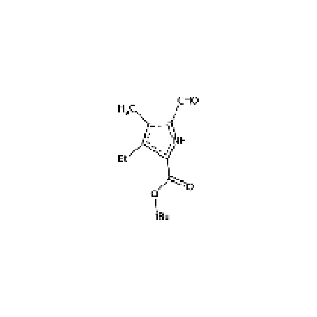 CCc1c(C(=O)OC(C)(C)C)[nH]c(C=O)c1C